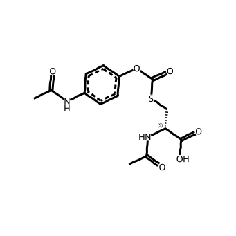 CC(=O)Nc1ccc(OC(=O)SC[C@@H](NC(C)=O)C(=O)O)cc1